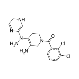 NC1=C(N(N)C2=CNCC=N2)CCN(C(=O)c2cccc(Cl)c2Cl)C1